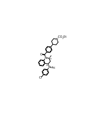 CCOC(=O)N1CCC(c2ccc(C(=O)N3c4ccccc4[C@H](N(C(C)=O)c4ccc(Cl)cc4)C[C@@H]3C)cc2)CC1